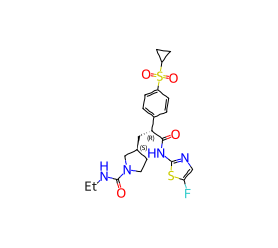 CCNC(=O)N1CC[C@H](C[C@@H](C(=O)Nc2ncc(F)s2)c2ccc(S(=O)(=O)C3CC3)cc2)C1